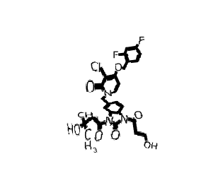 CC(C)(O)CC(=O)n1c(=O)n(C(=O)CCO)c2ccc(Cn3ccc(OCc4ccc(F)cc4F)c(Cl)c3=O)cc21